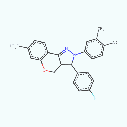 [C-]#[N+]c1ccc(N2N=C3c4ccc(C(=O)O)cc4OCC3C2c2ccc(F)cc2)cc1C(F)(F)F